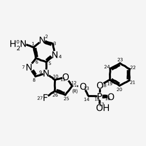 Nc1ncnc2c1ncn2C1O[C@H](OCP(=O)(O)Oc2ccccc2)C=C1F